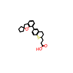 O=C(O)CCC1CCc2cc(-c3cccc4c3OC3(CCCC3)C4)ccc2S1